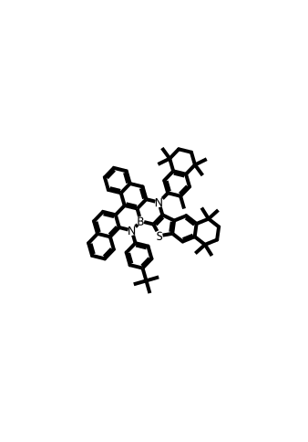 Cc1cc2c(cc1N1c3cc4ccccc4c4c3B(c3sc5cc6c(cc5c31)C(C)(C)CCC6(C)C)N(c1ccc(C(C)(C)C)cc1)c1c-4ccc3ccccc13)C(C)(C)CCC2(C)C